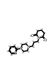 O=C1CCCC(=O)N1CCCN1CCN(c2ccccn2)CC1